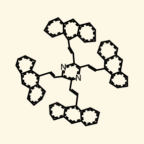 C(=Cc1c2ccccc2cc2ccccc12)c1nc(C=Cc2c3ccccc3cc3ccccc23)c(C=Cc2c3ccccc3cc3ccccc23)nc1C=Cc1c2ccccc2cc2ccccc12